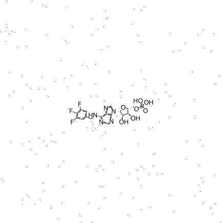 O=P(O)(O)OC[C@H]1O[C@@H](n2cnc3c(NCc4cc(F)c(F)c(F)c4)ncnc32)[C@H](O)[C@@H]1O